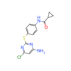 Nc1cc(Cl)nc(Sc2ccc(NC(=O)C3CC3)cc2)n1